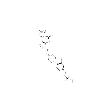 CCc1nc2c3cnn(CCN4CCN(c5ccc(CCC(C)(C)O)cc5F)CC4)c3nc(N)n2n1